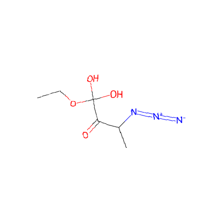 CCOC(O)(O)C(=O)C(C)N=[N+]=[N-]